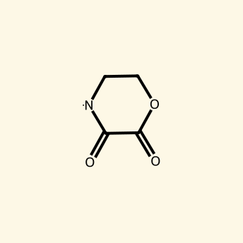 O=C1[N]CCOC1=O